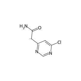 NC(=O)[CH]c1cc(Cl)ncn1